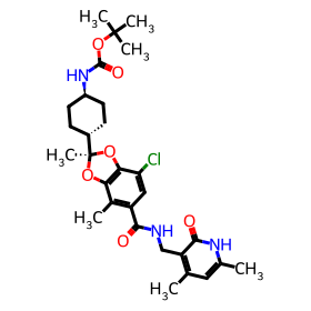 Cc1cc(C)c(CNC(=O)c2cc(Cl)c3c(c2C)O[C@@](C)([C@H]2CC[C@H](NC(=O)OC(C)(C)C)CC2)O3)c(=O)[nH]1